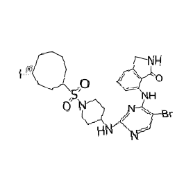 O=C1NCc2cccc(Nc3nc(NC4CCN(S(=O)(=O)C5CCCC[C@@H](I)CC5)CC4)ncc3Br)c21